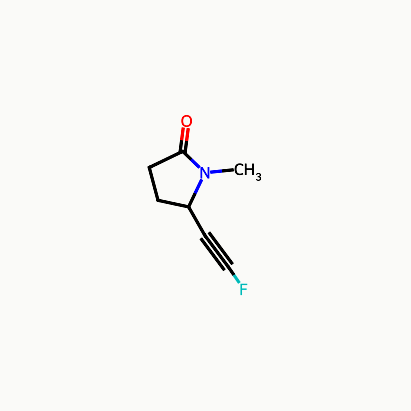 CN1C(=O)CCC1C#CF